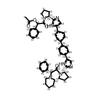 CC(=O)OC(C(=O)N1CCC[C@H]1c1ncc(-c2ccc(-c3ccc(-c4cnc([C@@H]5CCCN5C(=O)[C@@H](c5ccccc5)N5CCCCC5)[nH]4)cc3)cc2)[nH]1)c1ccccc1